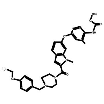 Cc1cc(Oc2ccc3cc(C(=O)N4CCN(Cc5ccc(OCC(F)(F)F)cc5)CC4)n(C)c3c2)ncc1NC(=O)OC(C)(C)C